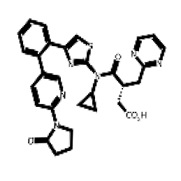 O=C(O)C[C@@H](Cc1ncccn1)C(=O)N(c1nc(-c2ccccc2-c2ccc(N3CCCC3=O)nc2)cs1)C1CC1